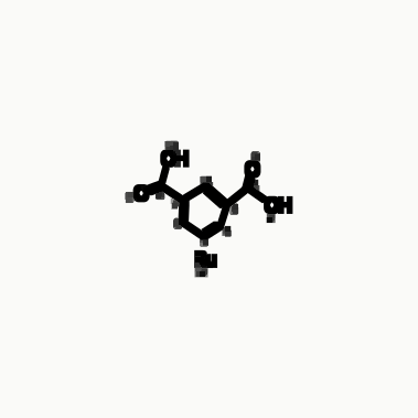 O=C(O)c1cccc(C(=O)O)c1.[Ru]